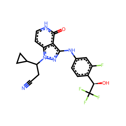 N#CCC(C1CC1)n1nc(Nc2ccc([C@@H](O)C(F)(F)F)c(F)c2)c2c(=O)[nH]ccc21